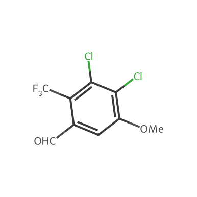 COc1cc(C=O)c(C(F)(F)F)c(Cl)c1Cl